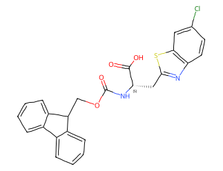 O=C(N[C@@H](Cc1nc2ccc(Cl)cc2s1)C(=O)O)OCC1c2ccccc2-c2ccccc21